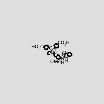 COc1cc(CC(=O)N2CCC[C@H]2C(Oc2ccc(C(=O)O)cc2)Oc2ccc(C(=O)O)cc2)ccc1NC(=O)Nc1ccccc1Cl